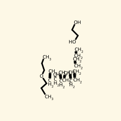 C=C.C=C.C=C.C=C.C=C.C=C.C=C.C=C.CCCOCCC.OCCO